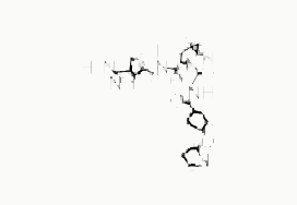 C[C@@]12C[C@@H]1N(C(=O)CNC(=O)c1ccc(Oc3ccccn3)cc1)[C@H](C(=O)NCc1cc(C(=N)N)cs1)C2